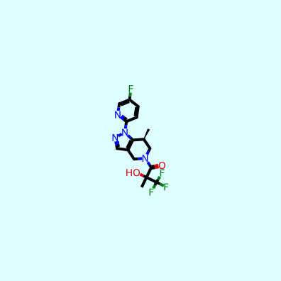 C[C@H]1CN(C(=O)C(C)(O)C(F)(F)F)Cc2cnn(-c3ccc(F)cn3)c21